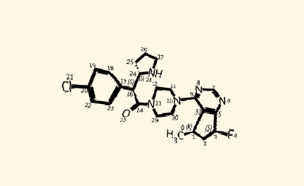 C[C@@H]1C[C@H](F)c2ncnc(N3CCN(C(=O)[C@@H](c4ccc(Cl)cc4)[C@@H]4CCCN4)CC3)c21